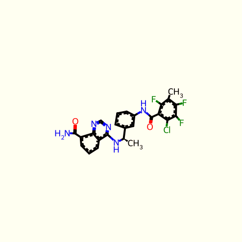 Cc1c(F)c(F)c(Cl)c(C(=O)Nc2cccc([C@@H](C)Nc3ncnc4c(C(N)=O)cccc34)c2)c1F